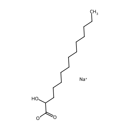 CCCCCCCCCCCCC(O)C(=O)[O-].[Na+]